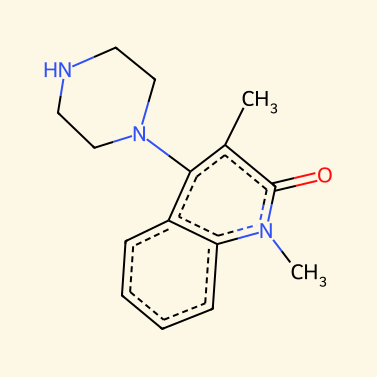 Cc1c(N2CCNCC2)c2ccccc2n(C)c1=O